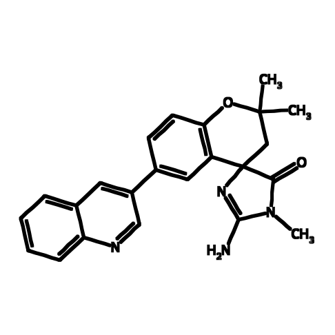 CN1C(=O)C2(CC(C)(C)Oc3ccc(-c4cnc5ccccc5c4)cc32)N=C1N